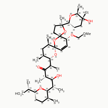 CC[C@@H](C(=O)[C@@H](C)[C@@H](O)[C@H](C)[C@@H]1O[C@@H]([C@@H](CC)C(=O)O)CC[C@@H]1C)[C@H]1O[C@]2(C=C[C@@H](OCOC)[C@]3(CC[C@@](C)([C@H]4CC[C@](O)(CC)[C@H](C)O4)O3)O2)[C@H](C)C[C@@H]1C